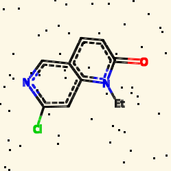 CCn1c(=O)ccc2cnc(Cl)cc21